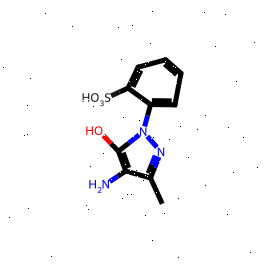 Cc1nn(-c2ccccc2S(=O)(=O)O)c(O)c1N